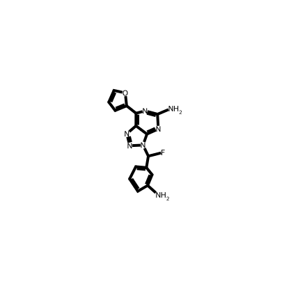 Nc1cccc(C(F)n2nnc3c(-c4ccco4)nc(N)nc32)c1